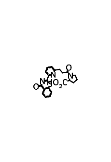 O=C(O)C1CCCN1C(=O)CCc1cccc(-c2nc(=O)c3ccccc3s2)n1